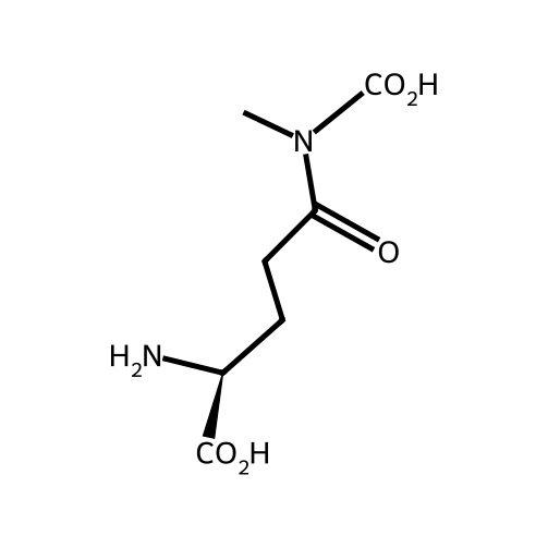 CN(C(=O)O)C(=O)CC[C@H](N)C(=O)O